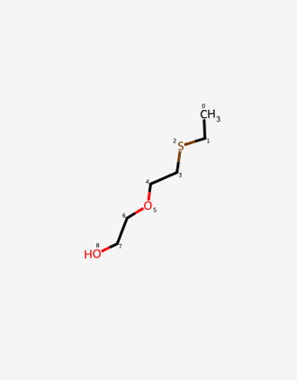 CCSCCOCCO